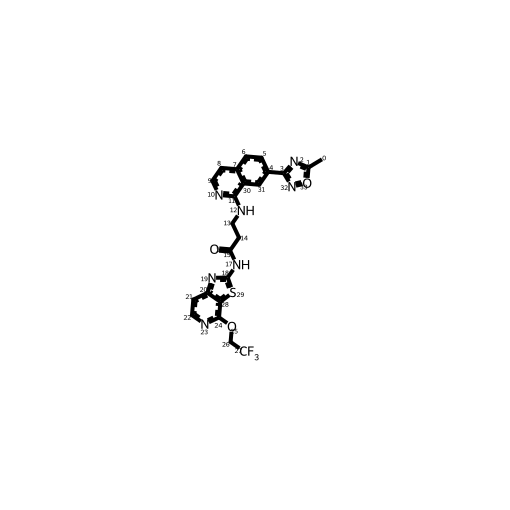 Cc1nc(-c2ccc3ccnc(NCCC(=O)Nc4nc5ccnc(OCC(F)(F)F)c5s4)c3c2)no1